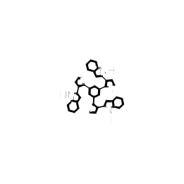 c1ccc2[nH]c(-c3ccsc3-c3cc(-c4sccc4-c4cc5ccccc5[nH]4)cc(-c4sccc4-c4cc5ccccc5[nH]4)c3)cc2c1